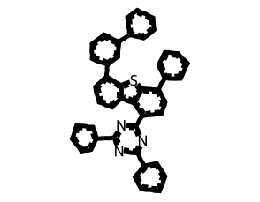 c1ccc(-c2cccc(-c3cccc4c3sc3c(-c5ccccc5)ccc(-c5nc(-c6ccccc6)nc(-c6ccccc6)n5)c34)c2)cc1